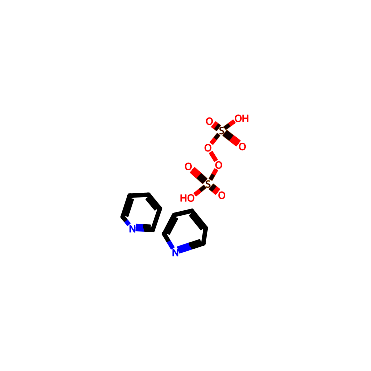 O=S(=O)(O)OOS(=O)(=O)O.c1ccncc1.c1ccncc1